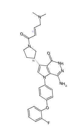 CN(C)C/C=C/C(=O)N1CC[C@@H](c2cn(-c3ccc(Oc4ccccc4F)cc3)c3c(N)n[nH]c(=O)c23)C1